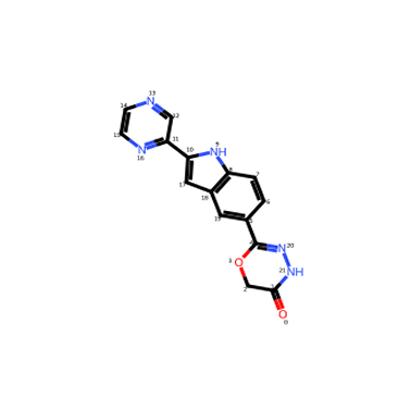 O=C1COC(c2ccc3[nH]c(-c4cnccn4)cc3c2)=NN1